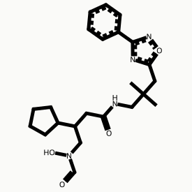 CC(C)(CNC(=O)CC(CN(O)C=O)C1CCCC1)Cc1nc(-c2ccccc2)no1